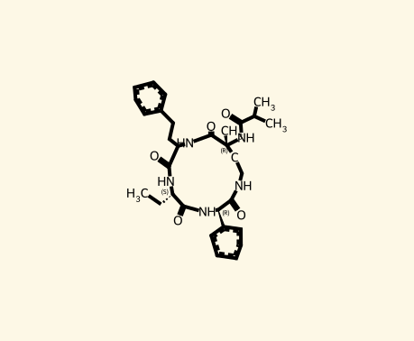 CC[C@@H]1NC(=O)C(CCc2ccccc2)NC(=O)[C@](C)(NC(=O)C(C)C)CCNC(=O)[C@@H](c2ccccc2)NC1=O